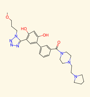 COCCCn1nnnc1-c1cc(-c2cccc(C(=O)N3CCN(CCN4CCCC4)CC3)c2)c(O)cc1O